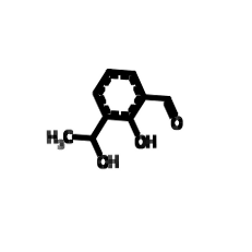 CC(O)c1cccc(C=O)c1O